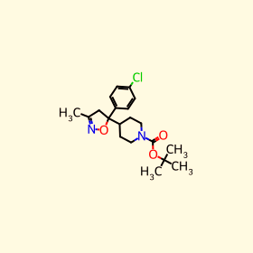 CC1=NOC(c2ccc(Cl)cc2)(C2CCN(C(=O)OC(C)(C)C)CC2)C1